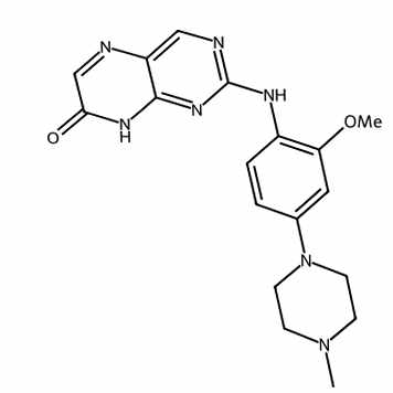 COc1cc(N2CCN(C)CC2)ccc1Nc1ncc2ncc(=O)[nH]c2n1